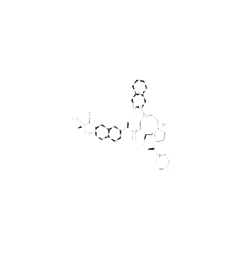 O=C(N[C@H]1CN(c2cc3ccccc3cn2)CC[C@H]2CC[C@@H](C(=O)N3CCOCC3)N2C1=O)c1ccc2ccc(C(F)P(=O)(O)O)cc2c1